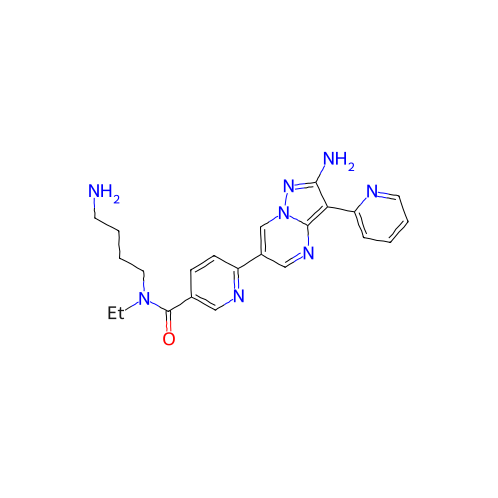 CCN(CCCCN)C(=O)c1ccc(-c2cnc3c(-c4ccccn4)c(N)nn3c2)nc1